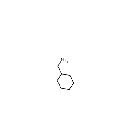 NC[C]1CCCCC1